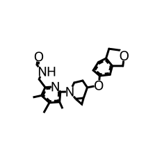 Cc1c(CNC=O)nc(N2CCC(Oc3ccc4c(c3)COCC4)C3CC32)c(C)c1C